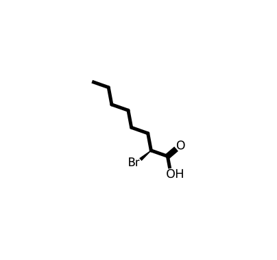 CCCCCC[C@H](Br)C(=O)O